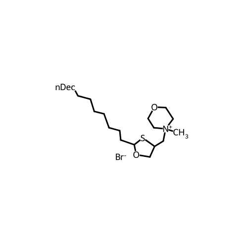 CCCCCCCCCCCCCCCCCC1OCC(C[N+]2(C)CCOCC2)S1.[Br-]